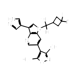 [2H]C([2H])(C1CC(F)(F)C1)n1cc(-c2cn[nH]c2)c2ncc(-c3c(C)noc3C)cc21